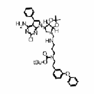 CC(C)(C)OC(=O)N(CCCNC[C@H]1C[C@@H](n2cc(-c3ccccc3)c3c(N)nc(Cl)nc32)[C@@H]2OC(C)(C)O[C@H]12)CCc1cccc(Oc2ccccc2)c1